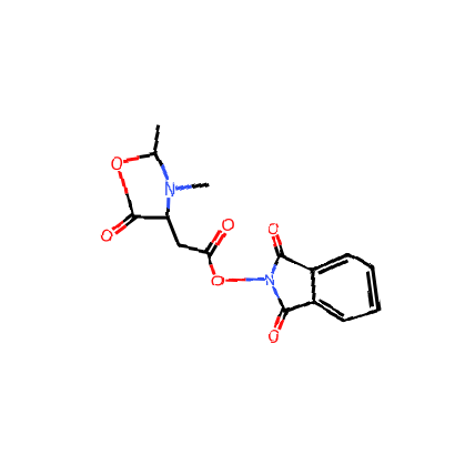 CC1OC(=O)C(CC(=O)ON2C(=O)c3ccccc3C2=O)N1C